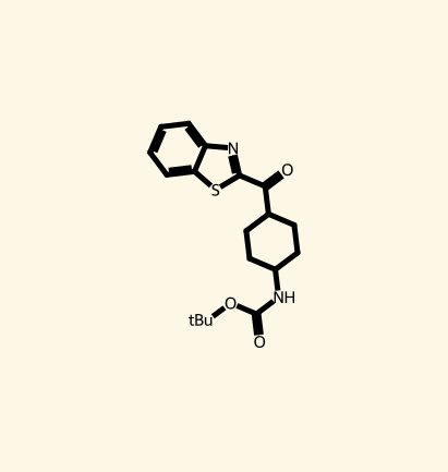 CC(C)(C)OC(=O)NC1CCC(C(=O)c2nc3ccccc3s2)CC1